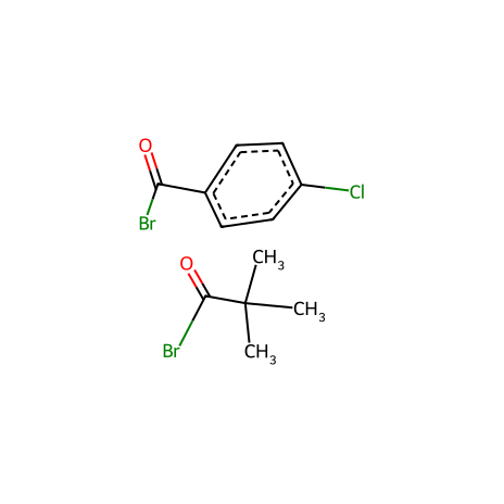 CC(C)(C)C(=O)Br.O=C(Br)c1ccc(Cl)cc1